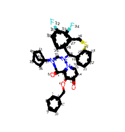 O=C1c2c(OCc3ccccc3)c(=O)ccn2N([C@@H]2c3ccccc3SCc3c2ccc(F)c3F)CN1C12CCC(C1)C2